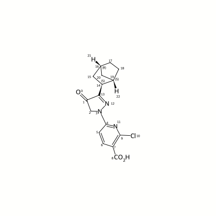 O=C1CN(c2ccc(C(=O)O)c(Cl)n2)N=C1[C@H]1C[C@@H]2CC[C@H]1C2